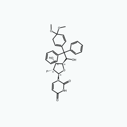 COC1(OC)C=CC(C(c2ccccc2)(c2ccccc2)C(O)[C@H]2O[C@@H](n3ccc(=O)[nH]c3=O)[C@H](F)[C@@H]2O)=CC1